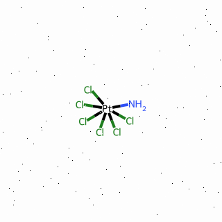 [NH2][Pt]([Cl])([Cl])([Cl])([Cl])([Cl])[Cl]